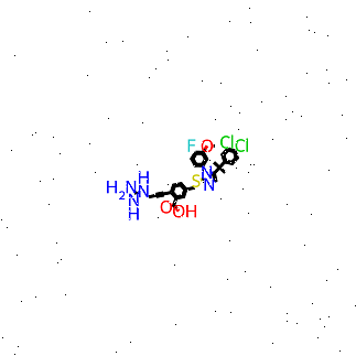 COc1cc(-n2c(C(C)(C)c3ccc(Cl)c(Cl)c3)cnc2SCc2ccc(C#CCNC(=N)N)c(C(=O)O)c2)ccc1F